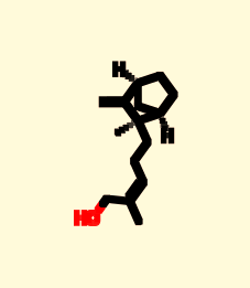 C=C1[C@H]2CC[C@H](C2)[C@@]1(C)CCC=C(C)CO